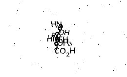 CC(O)(c1cccc(CCC(=O)O)c1)c1c[nH]c(-c2cc(C(O)c3ccc4[nH]ccc4c3)ccc2F)n1